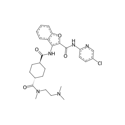 CN(C)CCN(C)C(=O)[C@H]1CC[C@H](C(=O)Nc2c(C(=O)Nc3ccc(Cl)cn3)oc3ccccc23)CC1